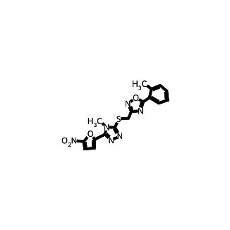 Cc1ccccc1-c1nc(CSc2nnc(-c3ccc([N+](=O)[O-])o3)n2C)no1